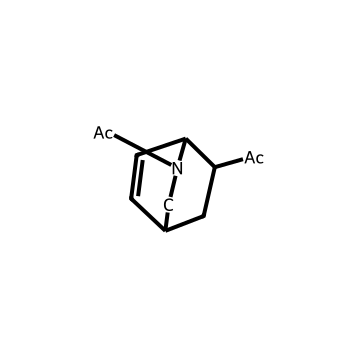 CC(=O)C1CC2C=CC1N(C(C)=O)C2